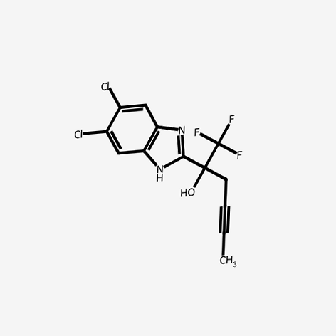 CC#CCC(O)(c1nc2cc(Cl)c(Cl)cc2[nH]1)C(F)(F)F